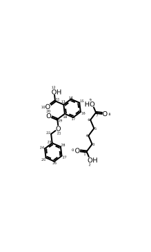 O=C(O)CCCCC(=O)O.O=C(O)c1ccccc1C(=O)OCc1ccccc1